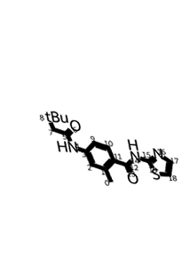 Cc1cc(NC(=O)CC(C)(C)C)ccc1C(=O)Nc1nccs1